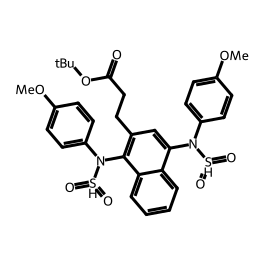 COc1ccc(N(c2cc(CCC(=O)OC(C)(C)C)c(N(c3ccc(OC)cc3)[SH](=O)=O)c3ccccc23)[SH](=O)=O)cc1